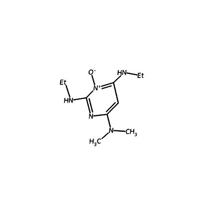 CCNc1cc(N(C)C)nc(NCC)[n+]1[O-]